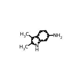 Cc1[nH]c2cc(N)ccc2c1C